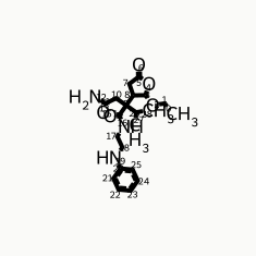 CCOC1OC(=O)CC1C(CC(N)=O)(C(=O)NCCNc1ccccc1)C(C)C